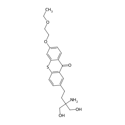 CCOCCOc1ccc2c(=O)c3cc(CCC(N)(CO)CO)ccc3sc2c1